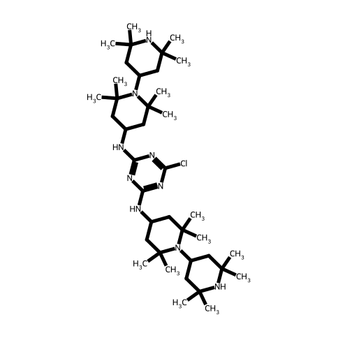 CC1(C)CC(N2C(C)(C)CC(Nc3nc(Cl)nc(NC4CC(C)(C)N(C5CC(C)(C)NC(C)(C)C5)C(C)(C)C4)n3)CC2(C)C)CC(C)(C)N1